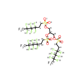 O=S(=O)(CCC(F)(F)C(F)(F)C(F)(F)C(F)(F)F)OCC(COS(=O)(=O)CCC(F)(F)C(F)(F)C(F)(F)C(F)(F)F)OS(=O)(=O)CCC(F)(F)C(F)(F)C(F)(F)C(F)(F)F